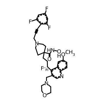 COc1ccc2ncc(CN3CCOCC3)c([C@H](F)CCC3(C(=O)NO)CCN(CC#Cc4c(F)cc(F)cc4F)CC3)c2c1